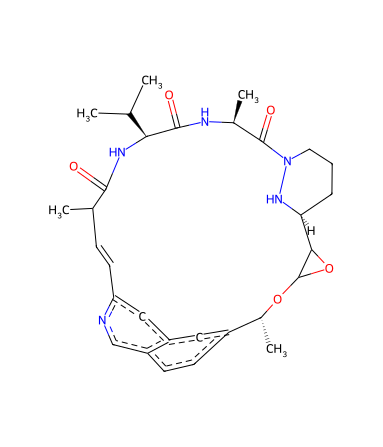 CC1/C=C/c2cc3cc(ccc3cn2)[C@@H](C)OC2OC2[C@@H]2CCCN(N2)C(=O)[C@H](C)NC(=O)[C@H](C(C)C)NC1=O